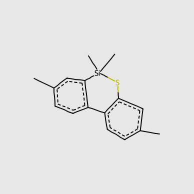 Cc1ccc2c(c1)S[Si](C)(C)c1cc(C)ccc1-2